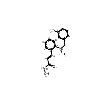 CN(Cc1cccc(C(F)(F)F)c1)c1ccccc1C=CC(=O)NO